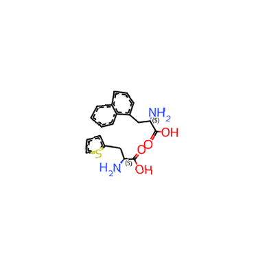 N[C@@H](Cc1cccc2ccccc12)C(=O)O.N[C@@H](Cc1cccs1)C(=O)O